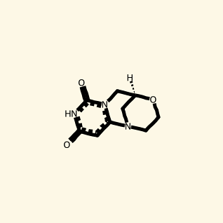 O=c1cc2n(c(=O)[nH]1)C[C@@H]1CN2CCO1